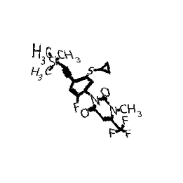 Cn1c(C(F)(F)F)cc(=O)n(-c2cc(SC3CC3)c(C#C[Si](C)(C)C)cc2F)c1=O